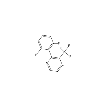 Fc1cccc(F)c1-c1ncc[c]c1C(F)(F)F